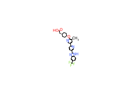 Cc1cc(-c2ccc(-c3nc4cc(C(F)(F)F)ccc4[nH]3)cn2)cnc1O[C@H]1CC[C@H](CC(=O)O)CC1